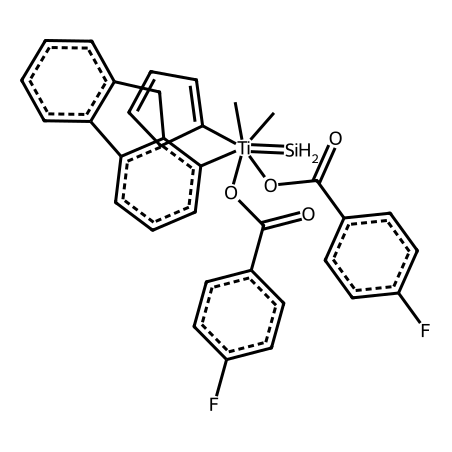 [CH3][Ti]([CH3])(=[SiH2])([O]C(=O)c1ccc(F)cc1)([O]C(=O)c1ccc(F)cc1)([C]1=CC=CC1)[c]1cccc2c1Cc1ccccc1-2